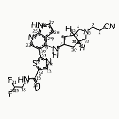 N#CCCN1C[C@H]2CC(Nc3c(-c4ncc(C(=O)NCC(F)F)s4)cnc4[nH]ccc34)C[C@H]2C1